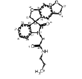 CCCNC(=O)CN1C(=O)C2(COc3cc4c(cc32)OCO4)c2ccccc21